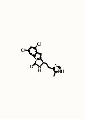 Cc1[nH]cnc1CCC1NC(=O)n2c1cc1c(Cl)cc(Cl)cc12